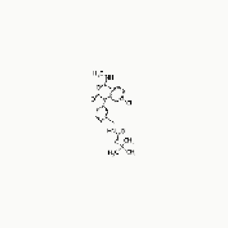 CNC(=O)c1ccc(Cl)cc1N(C=O)c1cccc(CNC(=O)OC(C)(C)C)c1